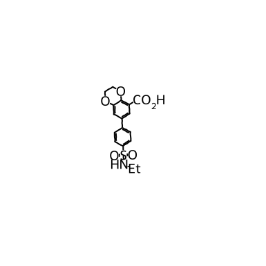 CCNS(=O)(=O)c1ccc(-c2cc3c(c(C(=O)O)c2)OCCO3)cc1